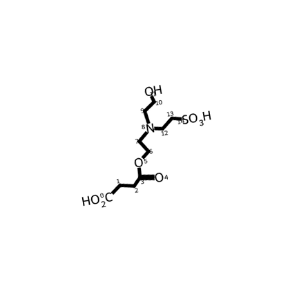 O=C(O)CCC(=O)OCCN(CCO)CCS(=O)(=O)O